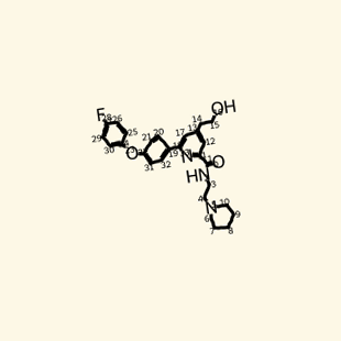 O=C(NCCN1CCCCC1)c1cc(CCO)cc(-c2ccc(Oc3ccc(F)cc3)cc2)n1